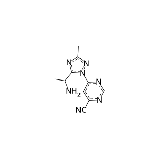 Cc1nc(C(C)N)n(-c2cc(C#N)ncn2)n1